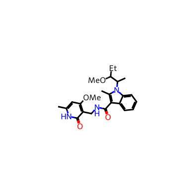 CCC(OC)C(C)n1c(C)c(C(=O)NCc2c(OC)cc(C)[nH]c2=O)c2ccccc21